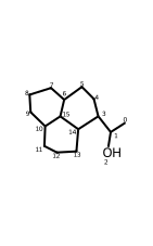 CC(O)C1CCC2CCCC3CCCC1C32